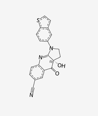 N#Cc1ccc2c(c1)C(=O)[C@]1(O)CCN(c3ccc4sccc4c3)C1=N2